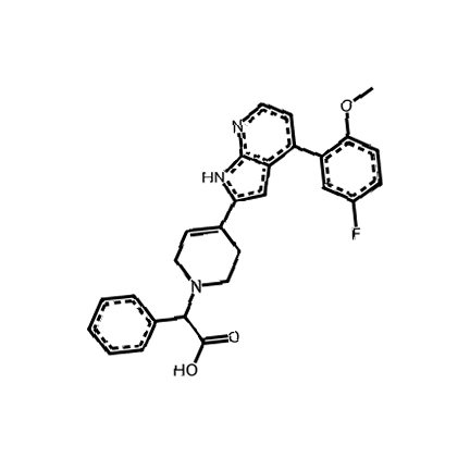 COc1ccc(F)cc1-c1ccnc2[nH]c(C3=CCN(C(C(=O)O)c4ccccc4)CC3)cc12